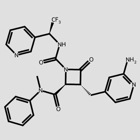 CN(C(=O)[C@@H]1[C@@H](Cc2ccnc(N)c2)C(=O)N1C(=O)N[C@@H](c1cccnc1)C(F)(F)F)c1ccccc1